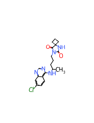 CC(CCCN1C(=O)NC2(CCC2)C1=O)Nc1ncnc2cc(Cl)ccc12